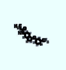 C=CC(=O)Nc1ccc2c(c1)CC[C@H]2Oc1cccc(C(F)(F)F)c1